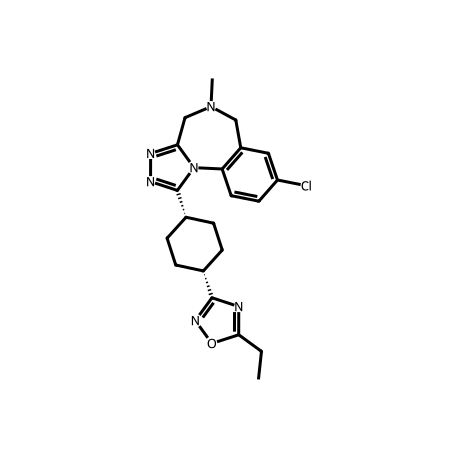 CCc1nc([C@H]2CC[C@@H](c3nnc4n3-c3ccc(Cl)cc3CN(C)C4)CC2)no1